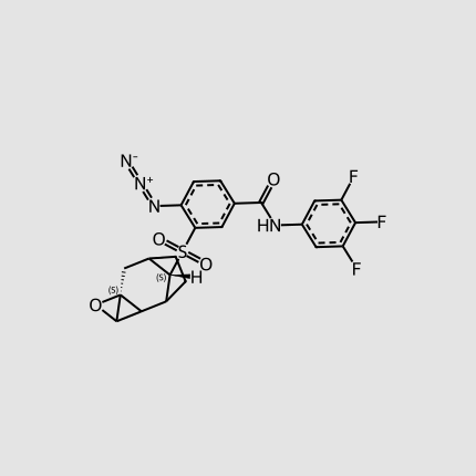 [N-]=[N+]=Nc1ccc(C(=O)Nc2cc(F)c(F)c(F)c2)cc1S(=O)(=O)[C@H]1C2CCC1C1C3O[C@]31C2